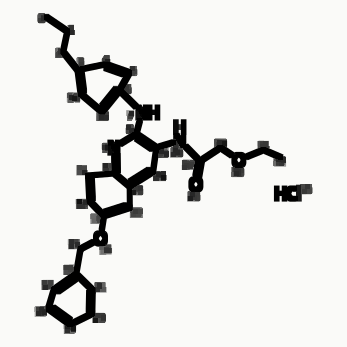 CCCc1ccc(Nc2nc3ccc(OCc4ccccc4)cc3cc2NC(=O)COCC)cc1.Cl